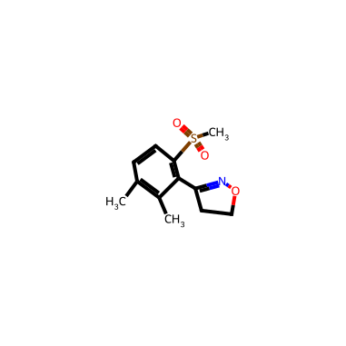 Cc1ccc(S(C)(=O)=O)c(C2=NOCC2)c1C